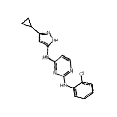 Clc1ccccc1Nc1nccc(Nc2cc(C3CC3)n[nH]2)n1